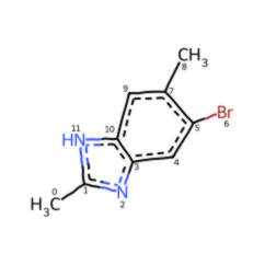 Cc1nc2cc(Br)c(C)cc2[nH]1